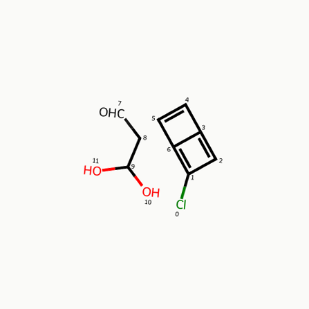 Clc1cc2ccc1-2.O=CCC(O)O